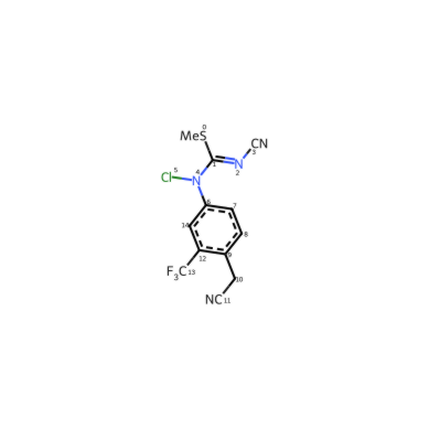 CSC(=NC#N)N(Cl)c1ccc(CC#N)c(C(F)(F)F)c1